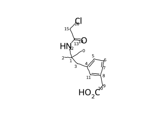 CC(C)(Cc1cccc(CC(=O)O)c1)NC(=O)CCl